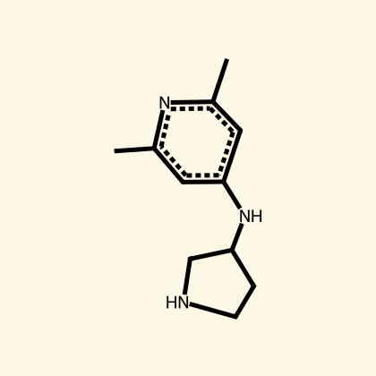 Cc1cc(NC2CCNC2)cc(C)n1